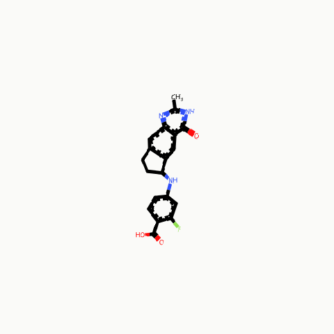 Cc1nc2cc3c(cc2c(=O)[nH]1)C(Nc1ccc(C(=O)O)c(F)c1)CC3